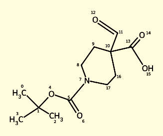 CC(C)(C)OC(=O)N1CCC(C=O)(C(=O)O)CC1